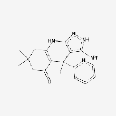 CCCc1[nH]nc2c1C(C)(c1ccccn1)C1=C(CC(C)(C)CC1=O)N2